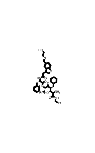 CC(C)CNC(=O)C(N)[C@@H](O)[C@H](CC1CCCCC1)C(=O)[C@H](CC(C)C)NC(=O)[C@H](Cc1ccccc1)NC(=O)CC1COc2ccc(C=NCCO)cc21